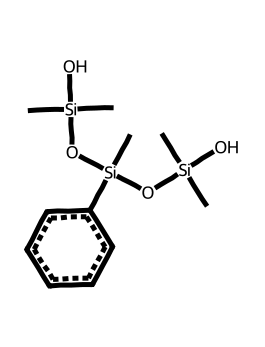 C[Si](C)(O)O[Si](C)(O[Si](C)(C)O)c1ccccc1